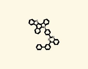 c1ccc(-c2cccc(-c3nc(-c4ccc(-n5c6ccccc6c6c7sc8ccccc8c7c7ccccc7c65)cc4)nc4ccccc34)c2)cc1